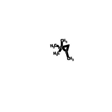 CN1C[SH]1(C)(C)C